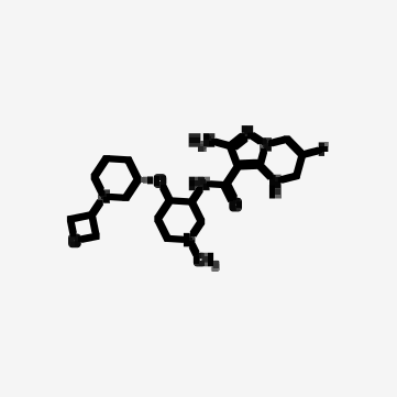 CN1CCC(O[C@H]2CCCN(C3COC3)C2)C(NC(=O)c2c(N)nn3c2NCC(F)C3)C1